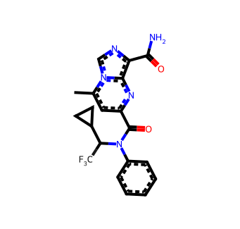 Cc1cc(C(=O)N(c2ccccc2)C(C2CC2)C(F)(F)F)nc2c(C(N)=O)ncn12